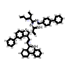 C=C/C=C(C=C)/C(=N/C(=N)C(=C)[C@H]1Sc2ccc(-c3ccccc3)cc2C1/C=C/C1Nc2ccccc2C2=C1CCC=C2)/N=C/c1ccc(-c2ccccc2)cc1